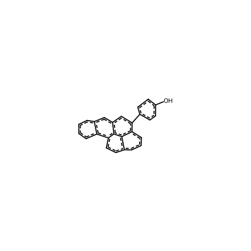 Oc1ccc(-c2cc3cc4ccccc4c4ccc5cccc2c5c34)cc1